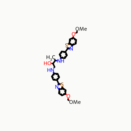 COCOc1ccc2nc(-c3ccc(NCC(O)C(C)Nc4ccc(-c5nc6ccc(OCOC)cc6s5)cc4)cc3)sc2c1